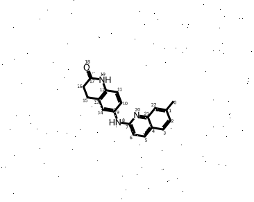 Cc1ccc2ccc(Nc3ccc4c(c3)CCC(=O)N4)nc2c1